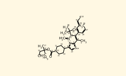 C=NN(C(=C(C)c1nc(C2CCN(C(=O)OC(C)(C)CC)CC2)cs1)C(/C=C\C)=C/C=C/F)C(C)(C)C